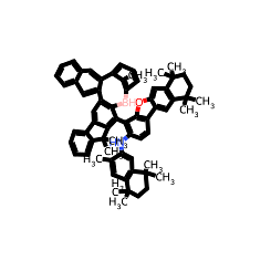 Cc1cc2c(cc1Nc1ccc3c(oc4cc5c(cc43)C(C)(C)CCC5(C)C)c1-c1c3c(cc4c1C(C)(C)c1ccccc1-4)-c1cc4ccccc4cc1-c1cccc(c1C)B3)C(C)(C)CCC2(C)C